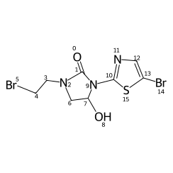 O=C1N(CCBr)CC(O)N1c1ncc(Br)s1